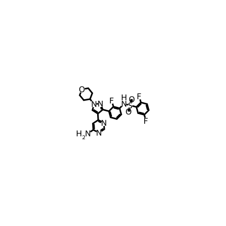 Nc1cc(-c2cn(C3CCOCC3)nc2-c2cccc(NS(=O)(=O)c3cc(F)ccc3F)c2F)ncn1